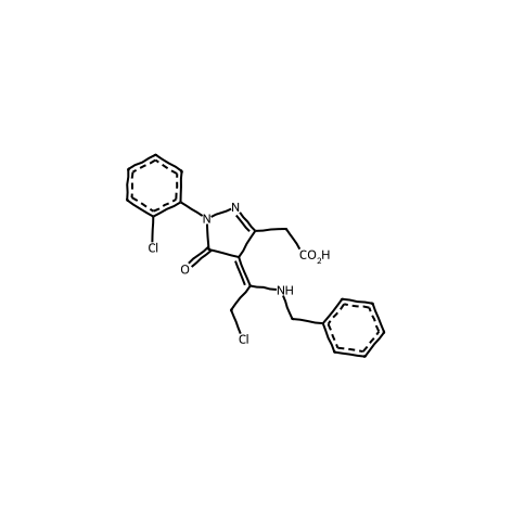 O=C(O)CC1=NN(c2ccccc2Cl)C(=O)C1=C(CCl)NCc1ccccc1